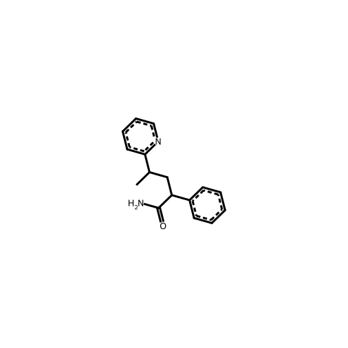 CC(CC(C(N)=O)c1ccccc1)c1ccccn1